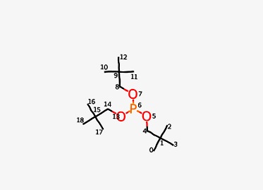 CC(C)(C)COP(OCC(C)(C)C)OCC(C)(C)C